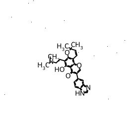 CN(C)CCc1c2c(c3occ(-c4ccc5[nH]cnc5c4)c(=O)c3c1O)C=CC(C)(C)O2